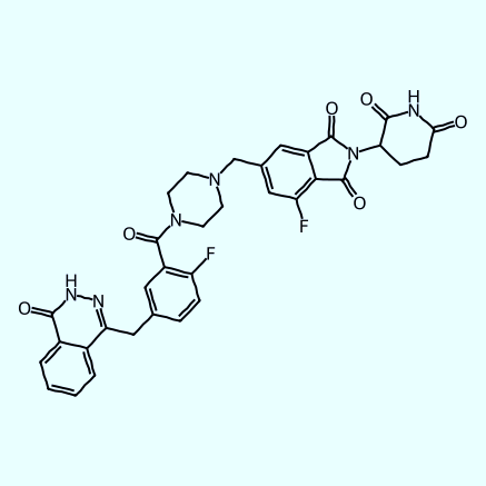 O=C1CCC(N2C(=O)c3cc(CN4CCN(C(=O)c5cc(Cc6n[nH]c(=O)c7ccccc67)ccc5F)CC4)cc(F)c3C2=O)C(=O)N1